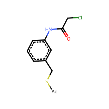 CC(=O)SCc1cccc(NC(=O)CCl)c1